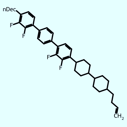 C=CCCC1CCC(C2CCC(c3ccc(-c4ccc(-c5ccc(CCCCCCCCCC)c(F)c5F)cc4)c(F)c3F)CC2)CC1